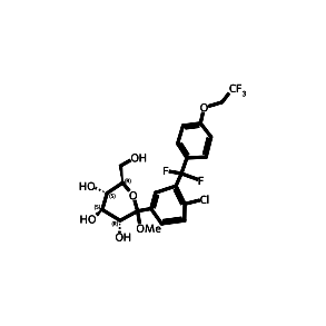 COC1(c2ccc(Cl)c(C(F)(F)c3ccc(OCC(F)(F)F)cc3)c2)O[C@H](CO)[C@@H](O)[C@H](O)[C@H]1O